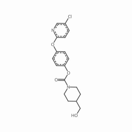 O=C(Oc1ccc(Oc2ccc(Cl)cn2)cc1)N1CCC(CO)CC1